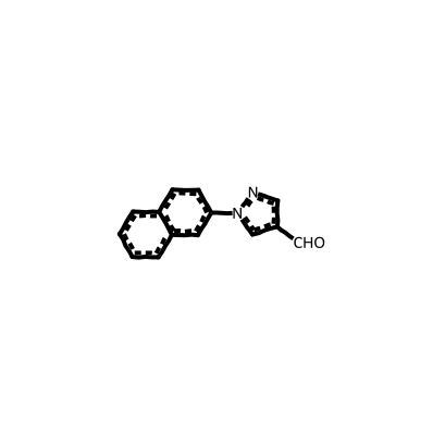 O=Cc1cnn(-c2ccc3ccccc3c2)c1